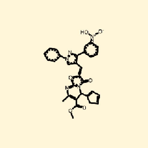 COC(=O)C1=C(C)N=c2o/c(=C\c3cn(-c4ccccc4)nc3-c3cccc([NH+]([O-])O)c3)c(=O)n2C1C1=CC=CC1